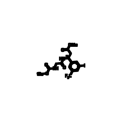 COC(=O)C[C@H](NC(=O)CNC(=O)OC(C)(C)C)c1cc(I)cc(C(F)(F)F)c1